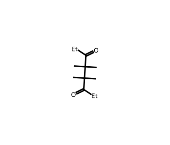 CCC(=O)C(C)(C)C(C)(C)C(=O)CC